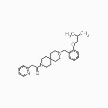 CC(C)COc1ccccc1CN1CCC2(CC1)CCN(C(=O)Cc1ccccn1)CC2